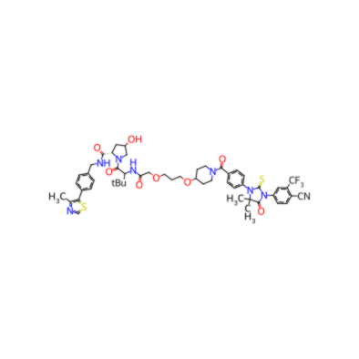 Cc1ncsc1-c1ccc(CNC(=O)[C@@H]2C[C@@H](O)CN2C(=O)C(NC(=O)COCCCOC2CCN(C(=O)c3ccc(N4C(=S)N(c5ccc(C#N)c(C(F)(F)F)c5)C(=O)C4(C)C)cc3)CC2)C(C)(C)C)cc1